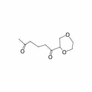 CC(=O)CCCC(=O)C1COCCO1